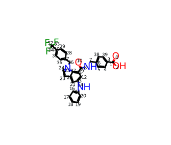 O=C(O)c1ccc(CNC(=O)c2cc(Nc3ccccc3)cc3ccn(Cc4ccc(C(F)(F)F)cc4)c23)cc1